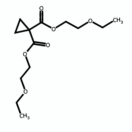 CCOCCOC(=O)C1(C(=O)OCCOCC)CC1